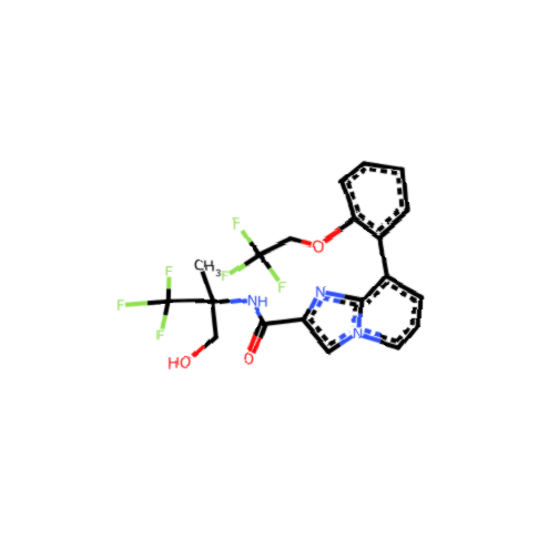 CC(CO)(NC(=O)c1cn2cccc(-c3ccccc3OCC(F)(F)F)c2n1)C(F)(F)F